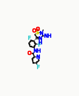 CN1C(=N)N[C@H](c2c(F)ccc(NC(=O)c3ccc(F)cn3)c2F)CS1(=O)=O